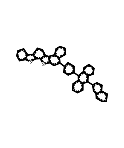 c1ccc2cc(-c3c4ccccc4c(-c4ccc(-c5cc6sc7c(ccc8c9ccccc9sc87)c6c6ccccc56)cc4)c4ccccc34)ccc2c1